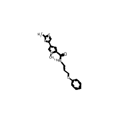 Cc1nc(-c2cc(C(=O)NCCCOc3ccccc3)n(C)c2)cs1